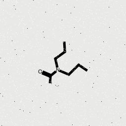 [CH]C(=O)N(CCC)CCC